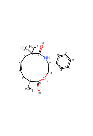 C[C@@H]1CC=CCC(C)(C)C(=O)N[C@H](c2ccccc2)COC1=O